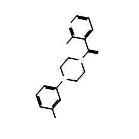 Nc1ncccc1C(=O)N1CCN(c2cccc(Cl)c2)CC1